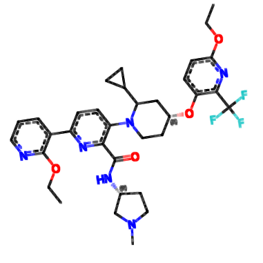 CCOc1ccc(O[C@@H]2CCN(c3ccc(-c4cccnc4OCC)nc3C(=O)N[C@@H]3CCN(C)C3)C(C3CC3)C2)c(C(F)(F)F)n1